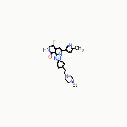 CCN1CCN(CCc2ccc(Nc3nc(-c4ccc(C)nc4)cc4c(F)c[nH]c(=O)c34)cc2)CC1